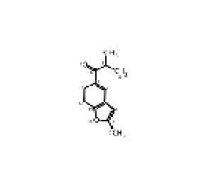 Cc1cc2cc(C(=O)C(C)C)ccc2o1